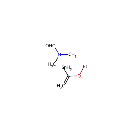 C=[C]([SnH3])OCC.CN(C)C=O